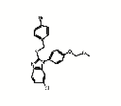 COCOc1ccc(-n2c(SCc3ccc(Br)cc3)nc3ccc(Cl)cc32)cc1